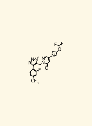 Cn1nnc(-c2ccc(C(F)(F)F)cc2F)c1Cn1ncc(N2CC(OC(F)F)C2)cc1=O